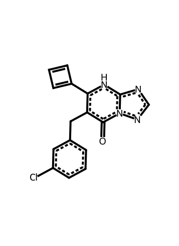 O=c1c(Cc2cccc(Cl)c2)c(C2=CC=C2)[nH]c2ncnn12